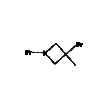 CC(C)N1CC(C)(C(C)C)C1